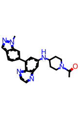 CC(=O)N1CCC(Nc2cc(-c3ccc4cnn(C)c4c3)c3nccnc3c2)CC1